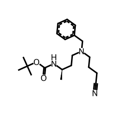 C[C@H](CCN(CCCC#N)Cc1ccccc1)NC(=O)OC(C)(C)C